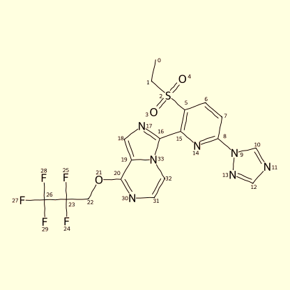 CCS(=O)(=O)c1ccc(-n2cncn2)nc1-c1ncc2c(OCC(F)(F)C(F)(F)F)nccn12